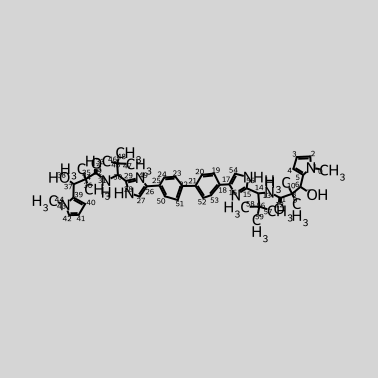 Cn1cccc1C(O)C(C)(C)C(=O)NC(c1nc(-c2ccc(-c3ccc(-c4c[nH]c(C(NC(=O)C(C)(C)C(O)c5cccn5C)C(C)(C)C)n4)cc3)cc2)c[nH]1)C(C)(C)C